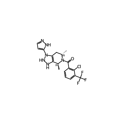 C[C@H]1CC2=C(NNN2c2ccn[nH]2)[C@H](C)N1C(=O)c1cccc(C(F)(F)F)c1Cl